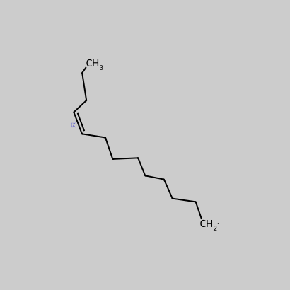 [CH2]CCCCCCC/C=C\CCC